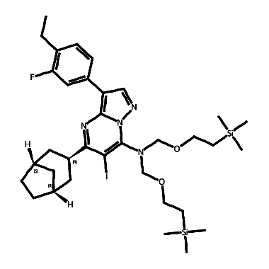 CCc1ccc(-c2cnn3c(N(COCC[Si](C)(C)C)COCC[Si](C)(C)C)c(I)c([C@H]4C[C@@H]5CC[C@@H](C5)C4)nc23)cc1F